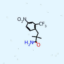 CC(C)(Cc1ccc([N+](=O)[O-])cc1C(F)(F)F)C(N)=O